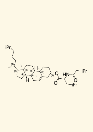 CC(C)CCC[C@@H](C)[C@H]1CC[C@@H]2[C@]1(C)CC[C@H]1[C@@]2(C)CC=C2C[C@@H](OC(=O)C(CC(C)C)NC(=O)CC(C)C)CC[C@@]21C